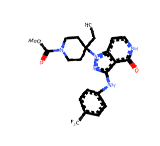 COC(=O)N1CCC(CC#N)(n2nc(Nc3ccc(C(F)(F)F)cc3)c3c(=O)[nH]ccc32)CC1